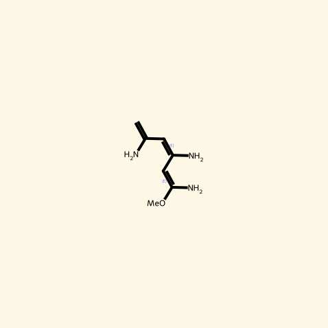 C=C(N)/C=C(N)\C=C(/N)OC